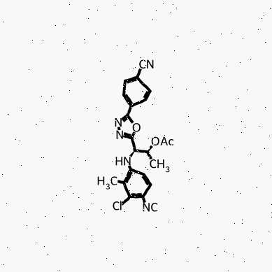 [C-]#[N+]c1ccc(N[C@@H](c2nnc(-c3ccc(C#N)cc3)o2)[C@H](C)OC(C)=O)c(C)c1Cl